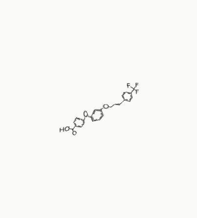 O=C(O)c1ccc(Oc2cccc(OC/C=C/c3ccc(C(F)(F)F)cc3)c2)cc1